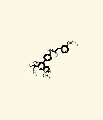 COc1cccc(CC(=O)Nc2ccc(-c3cc(C(C)(C)C)nc4c3cnn4C)cc2)c1